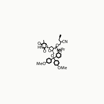 C#CCC(C#N)COP(C1C[C@H](n2cc(C)c(=O)[nH]c2=O)O[C@@H]1COC(c1ccccc1)(c1ccc(OC)cc1)c1ccc(OC)cc1)N(C(C)C)C(C)C